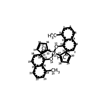 Cc1ccc2cccc(C)c2c1[O][Zr]([O]c1c(C)ccc2cccc(C)c12)([C]1=CC=CC1)[C]1=CC=CC1